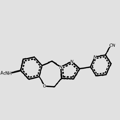 CC(=O)Nc1ccc2c(c1)OCc1cc(-c3cccc(C#N)n3)nn1C2